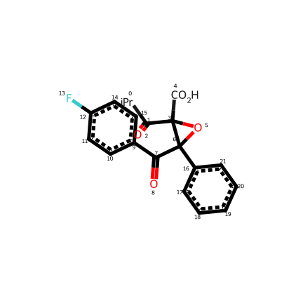 CC(C)C(=O)C1(C(=O)O)OC1(C(=O)c1ccc(F)cc1)c1ccccc1